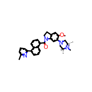 COc1cc2c(cc1N1C[C@@H](C)N(C)[C@@H](C)C1)N(C(=O)c1cccc3c(-c4cccc(C)n4)cccc13)CC2